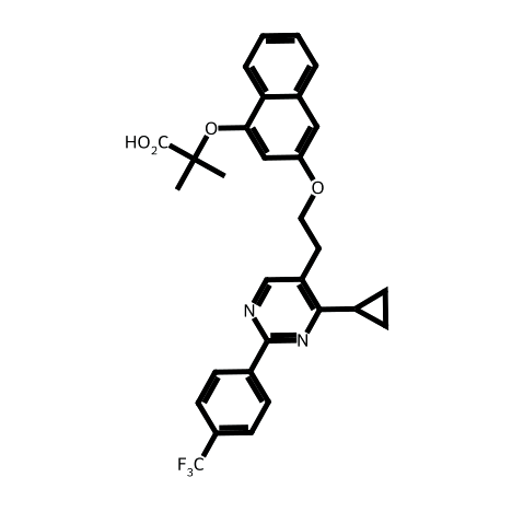 CC(C)(Oc1cc(OCCc2cnc(-c3ccc(C(F)(F)F)cc3)nc2C2CC2)cc2ccccc12)C(=O)O